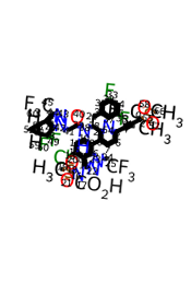 CC(C)(C#Cc1ccc(-c2ccc(Cl)c3c(N(C(=O)O)S(C)(=O)=O)nn(CC(F)(F)F)c23)c([C@H](Cc2cc(F)cc(F)c2)NC(=O)Cn2nc(C(F)(F)F)c3c2C(F)(F)[C@@H]2C[C@H]32)n1)S(C)(=O)=O